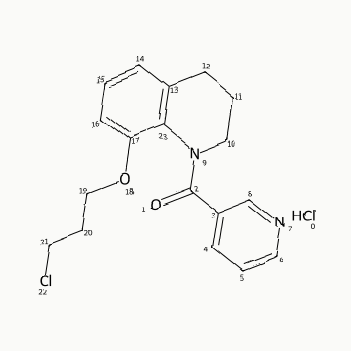 Cl.O=C(c1cccnc1)N1CCCc2cccc(OCCCCl)c21